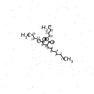 CCCCCCCCC(CC(=O)OCCCC)C(=O)OCCCC